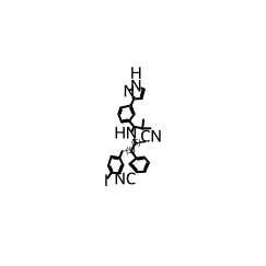 C[C@H](NC(c1cccc(-c2cc[nH]n2)c1)C(C)(C)C#N)[C@@H](Cc1ccc(I)cc1)c1cccc(C#N)c1